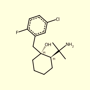 CC(C)(N)[C@H]1CCCC[C@@]1(O)Cc1cc(Cl)ccc1F